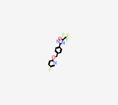 Fc1ccc(OCc2ccc(-c3noc(C(F)(F)F)n3)cc2)nc1